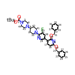 CC(C)(C)OC(=O)N1CCN(C2CCN(c3ncc(-c4ccc(OCc5ccccc5)nc4OCc4ccccc4)cc3F)CC2)CC1